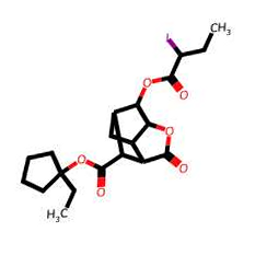 CCC(I)C(=O)OC1C2CC3C1OC(=O)C3C2C(=O)OC1(CC)CCCC1